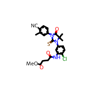 COC(=O)CCC(=O)Nc1cc(N2C(=S)N(c3ccc(C#N)c(C)c3)C(=O)C2(C)C)ccc1Cl